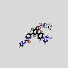 CN(C)C(=O)c1cc2c(F)c(C3=CCCN(C(=O)CCn4cccn4)C3)cc(-c3ccc(N4CCNCC4)cc3)c2o1